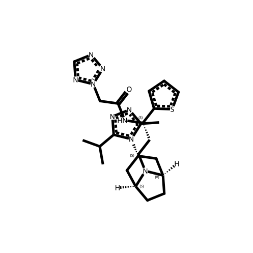 Cc1nnc(C(C)C)n1[C@@H]1C[C@H]2CC[C@@H](C1)N2CC[C@H](NC(=O)Cn1ncnn1)c1cccs1